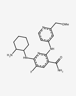 COCc1cc(Nc2nc(NC3CCCCC3N)c(F)cc2C(N)=O)ccn1